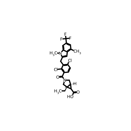 CC[C@@]12CN(C(=O)c3ccc(Cl)c(Cc4cc5c(C)cc(C(F)(F)F)cc5n4C)c3Cl)C[C@H]1C2C(=O)O